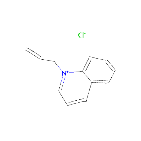 C=CC[n+]1cccc2ccccc21.[Cl-]